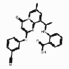 Cc1cc(C(C)Nc2ccccc2C(=O)O)c2nc(Oc3cccc(C#N)c3)cc(=O)n2c1